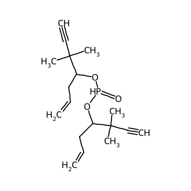 C#CC(C)(C)C(CC=C)O[PH](=O)OC(CC=C)C(C)(C)C#C